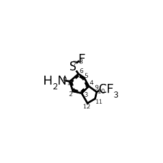 Nc1cc2c(cc1SF)C(C(F)(F)F)CC2